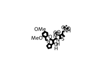 COc1ccc(CN2C(=O)C(C3=NS(=O)(=O)c4c(CNS(C)(=O)=O)csc4N3)=C(O)C3CCCC32)c(OC)c1